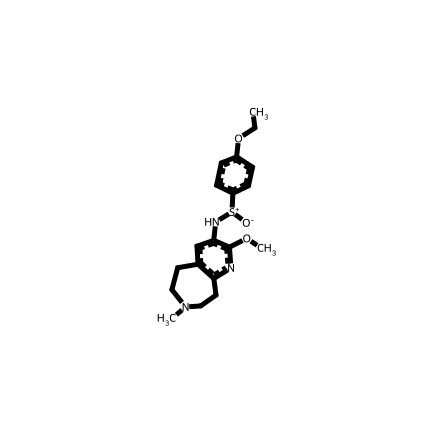 CCOc1ccc([S+]([O-])Nc2cc3c(nc2OC)CCN(C)CC3)cc1